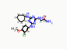 COc1ccc(Nc2nc(NCC(N)=O)nc(NC3CCCCCC3)n2)cc1Cl